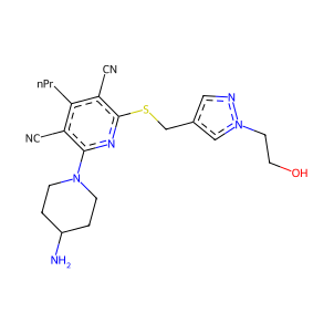 CCCc1c(C#N)c(SCc2cnn(CCO)c2)nc(N2CCC(N)CC2)c1C#N